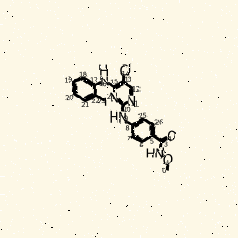 CONC(=O)c1ccc(Nc2ncc(Cl)c(Nc3ccccc3I)n2)cc1